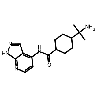 CC(C)(N)C1CCC(C(=O)Nc2ccnc3[nH]ncc23)CC1